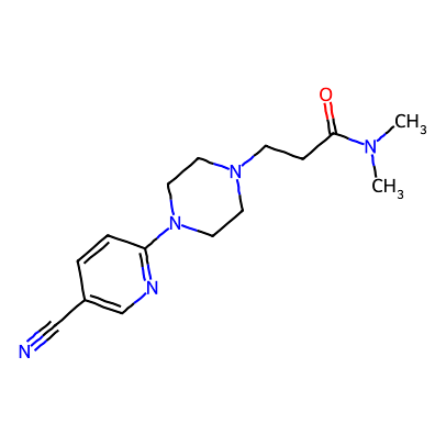 CN(C)C(=O)CCN1CCN(c2ccc(C#N)cn2)CC1